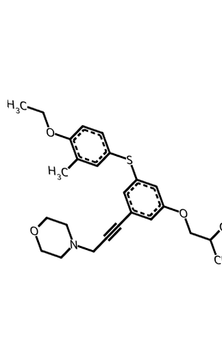 CCOc1ccc(Sc2cc(C#CCN3CCOCC3)cc(OCC(C)C)c2)cc1C